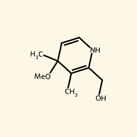 COC1(C)C=CNC(CO)=C1C